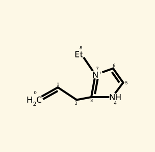 C=CCc1[nH]cc[n+]1CC